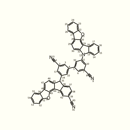 N#Cc1cc(-c2cc(C#N)cc(-n3c4ccccc4c4c5oc6ccccc6c5ccc43)c2)cc(C2c3ccc(C#N)cc3-c3c2ccc2c3oc3ccccc32)c1